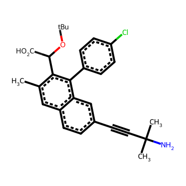 Cc1cc2ccc(C#CC(C)(C)N)cc2c(-c2ccc(Cl)cc2)c1C(OC(C)(C)C)C(=O)O